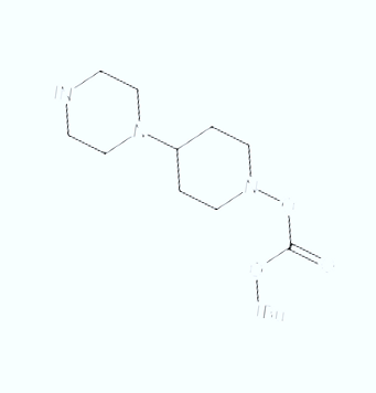 CC(C)(C)OC(=O)ON1CCC(N2CCNCC2)CC1